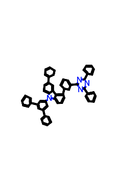 C1=CCCC(c2ccc3c(c2)c2c(C4C=CC=C(c5nc(-c6ccccc6)nc(-c6ccccc6)n5)C4)cccc2n3-c2cc(-c3ccccc3)cc(-c3ccccc3)c2)=C1